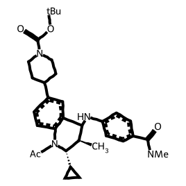 CNC(=O)c1ccc(NC2c3cc(C4CCN(C(=O)OC(C)(C)C)CC4)ccc3N(C(C)=O)[C@@H](C3CC3)[C@@H]2C)cc1